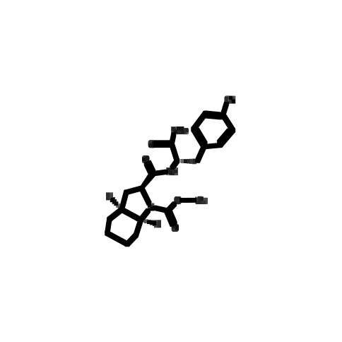 CNC(=O)[C@H](Cc1ccc(C#N)cc1)NC(=O)[C@@H]1C[C@@H]2CCCC[C@@H]2N1C(=O)OC(C)(C)C